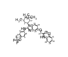 C[C@H]1C[C@@H](n2c(Nc3ccc(OC(F)(F)F)cc3)nc3cc(OCC(=O)Nc4ccccc4Cl)ccc32)CC(C)(C)C1